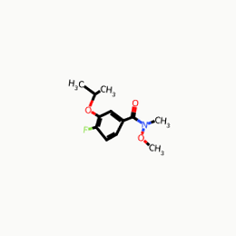 CON(C)C(=O)c1ccc(F)c(OC(C)C)c1